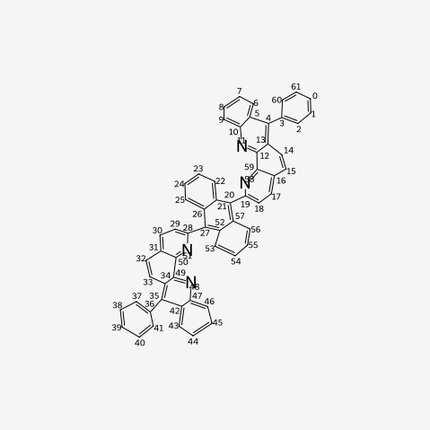 c1ccc(-c2c3ccccc3nc3c2ccc2ccc(-c4c5ccccc5c(-c5ccc6ccc7c(-c8ccccc8)c8ccccc8nc7c6n5)c5ccccc45)nc23)cc1